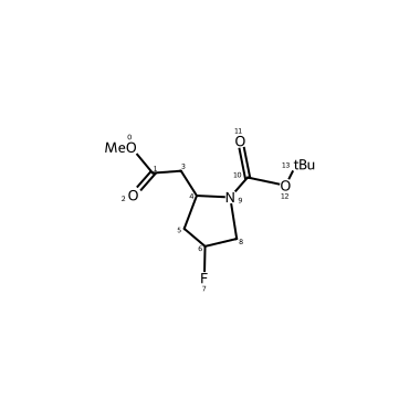 COC(=O)CC1CC(F)CN1C(=O)OC(C)(C)C